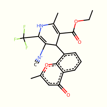 [C-]#[N+]C1=C(C(F)(F)F)NC(C)=C(C(=O)OCC)C1c1cccc2c(=O)cc(C)oc12